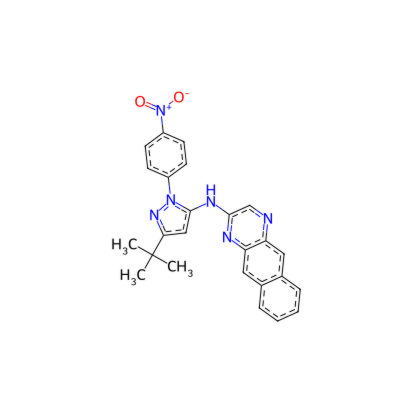 CC(C)(C)c1cc(Nc2cnc3cc4ccccc4cc3n2)n(-c2ccc([N+](=O)[O-])cc2)n1